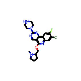 CN1CCCC1COc1nc2cc(Cl)c(F)cc2c2nc(N3CCNCC3)ncc12